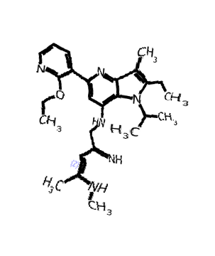 CCOc1ncccc1-c1cc(NCC(=N)/C=C(/C)NC)c2c(n1)c(C)c(CC)n2C(C)C